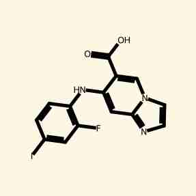 O=C(O)c1cn2ccnc2cc1Nc1ccc(I)cc1F